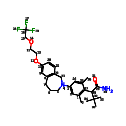 Cc1cc(N2CCCc3cc(OCCOCC(F)(F)F)ccc3C2)cc(C)c1C(C(N)=O)C(C)(C)C